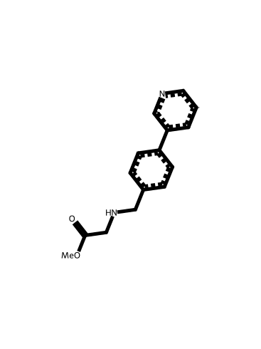 COC(=O)CNCc1ccc(-c2c[c]cnc2)cc1